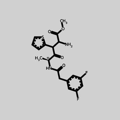 COC(=O)C(N)C(C(=O)[C@H](C)NC(=O)Cc1cc(F)cc(F)c1)c1cccs1